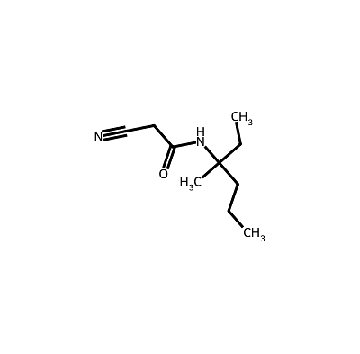 CCCC(C)(CC)NC(=O)CC#N